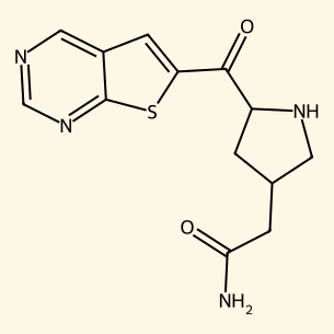 NC(=O)CC1CNC(C(=O)c2cc3cncnc3s2)C1